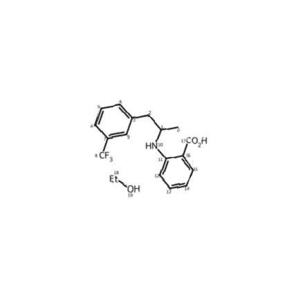 CC(Cc1cccc(C(F)(F)F)c1)Nc1ccccc1C(=O)O.CCO